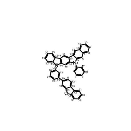 c1ccc(-n2c3cc4ccccc4cc3c3cc4c5ccccc5n(-c5cccc(-c6ccc7c(c6)oc6ccccc67)c5)c4cc32)cc1